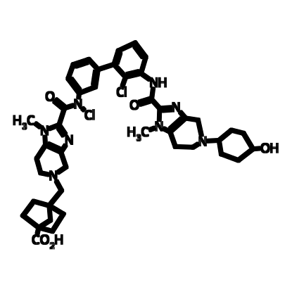 Cn1c(C(=O)Nc2cccc(-c3cccc(N(Cl)C(=O)c4nc5c(n4C)CCN(CC46CCC(C(=O)O)(CC4)C6)C5)c3)c2Cl)nc2c1CCN(C1CCC(O)CC1)C2